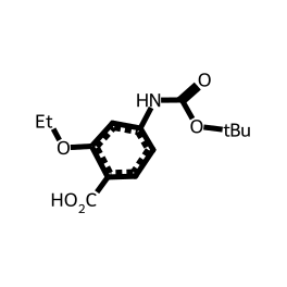 CCOc1cc(NC(=O)OC(C)(C)C)ccc1C(=O)O